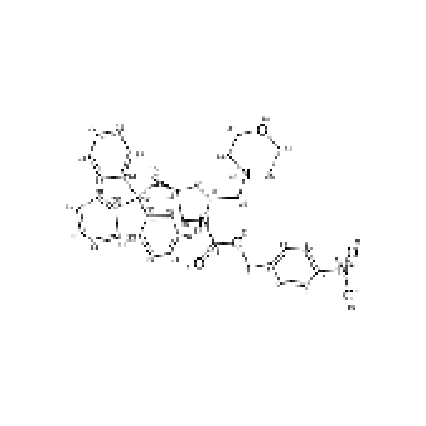 O=C(OCc1ccc([N+](=O)[O-])cc1)N1C[C@@H](SC(c2ccccc2)(c2ccccc2)c2ccccc2)C[C@H]1CN1CCOCC1